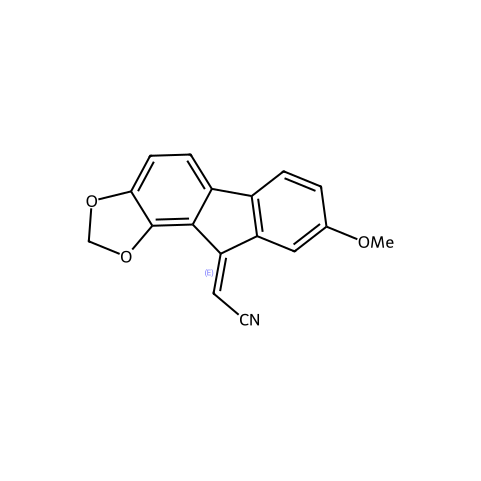 COc1ccc2c(c1)/C(=C\C#N)c1c-2ccc2c1OCO2